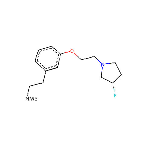 CNCCc1cccc(OCCN2CC[C@H](F)C2)c1